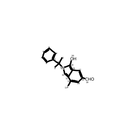 CC(C)(c1ccccc1)n1cc2c(I)cc(C=O)cc2c1O